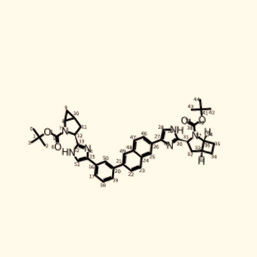 CC(C)(C)OC(=O)N1C2CC2C[C@H]1c1nc(-c2cccc(-c3ccc4cc(-c5c[nH]c([C@@H]6C[C@H]7CC[C@H]7N6C(=O)OC(C)(C)C)n5)ccc4c3)c2)c[nH]1